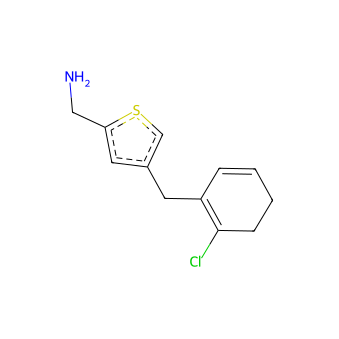 NCc1cc(CC2=C(Cl)CCC=C2)cs1